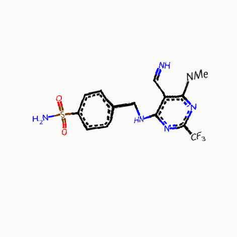 CNc1nc(C(F)(F)F)nc(NCc2ccc(S(N)(=O)=O)cc2)c1C=N